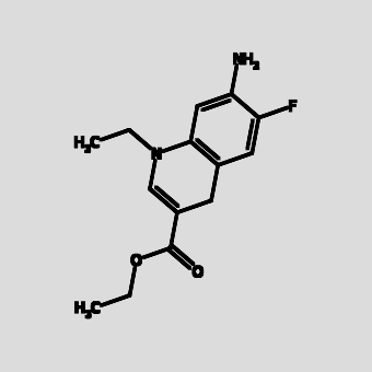 CCOC(=O)C1=CN(CC)c2cc(N)c(F)cc2C1